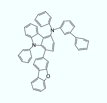 c1ccc(-c2cccc(N(c3ccccc3)c3ccc(-c4ccc5c(c4)oc4ccccc45)c4c3c3ccccc3n4-c3ccccc3)c2)cc1